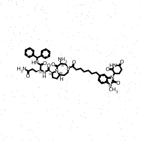 Cn1c(=O)n(C2CCC(=O)NC2=O)c2cc(CCCCCCC(=O)N3CC[C@H]4CC[C@@H](C(=O)N[C@@H](CCC(N)=O)C(=O)NC(c5ccccc5)c5ccccc5)N4C(=O)[C@@H](N)C3)ccc21